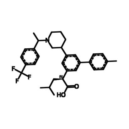 Cc1ccc(-c2cc(C3CCCN(C(C)c4ccc(C(F)(F)F)cc4)C3)cc([C@H](CC(C)C)C(=O)O)c2)cc1